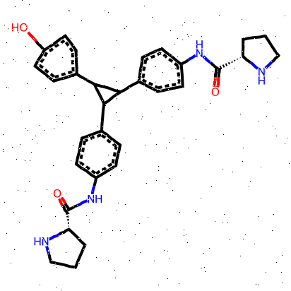 O=C(Nc1ccc(C2C(c3ccc(O)cc3)C2c2ccc(NC(=O)[C@@H]3CCCN3)cc2)cc1)[C@@H]1CCCN1